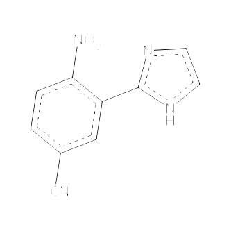 N#Cc1ccc([N+](=O)[O-])c(-c2ncc[nH]2)c1